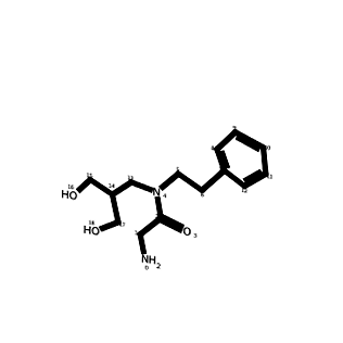 NCC(=O)N(CCc1ccccc1)CC(CO)CO